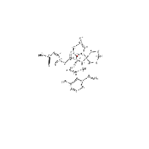 COc1cccc(O)c1C(=O)NC(C1(c2cccc(F)c2)CCNCC1)S(=O)(=O)NCc1ccc(O)cc1